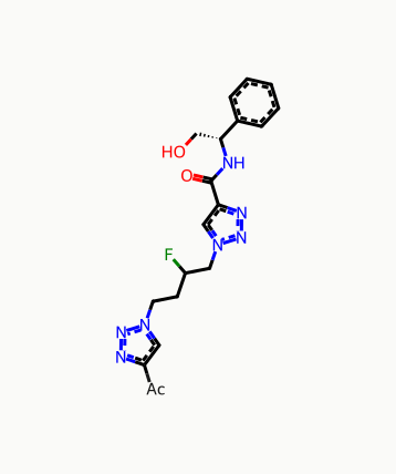 CC(=O)c1cn(CCC(F)Cn2cc(C(=O)N[C@H](CO)c3ccccc3)nn2)nn1